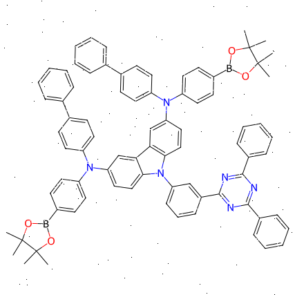 CC1(C)OB(c2ccc(N(c3ccc(-c4ccccc4)cc3)c3ccc4c(c3)c3cc(N(c5ccc(B6OC(C)(C)C(C)(C)O6)cc5)c5ccc(-c6ccccc6)cc5)ccc3n4-c3cccc(-c4nc(-c5ccccc5)nc(-c5ccccc5)n4)c3)cc2)OC1(C)C